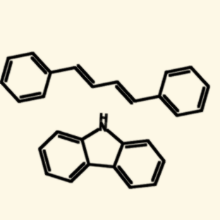 C(/C=C/c1ccccc1)=C\c1ccccc1.c1ccc2c(c1)[nH]c1ccccc12